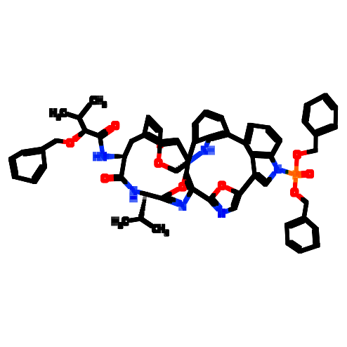 CC(C)[C@H](OCc1ccccc1)C(=O)N[C@H]1Cc2ccc3c(c2)[C@]24c5cccc(c5NC2O3)-c2cccc3c2c(cn3P(=O)(OCc2ccccc2)OCc2ccccc2)-c2cnc(o2)-c2nc(oc24)[C@H](C(C)C)NC1=O